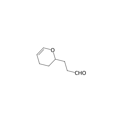 O=CCCC1CCC=CO1